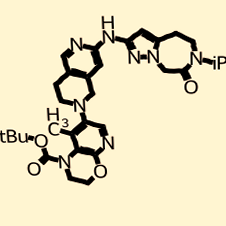 Cc1c(N2CCc3cnc(Nc4cc5n(n4)CC(=O)N(C(C)C)CC5)cc3C2)cnc2c1N(C(=O)OC(C)(C)C)CCO2